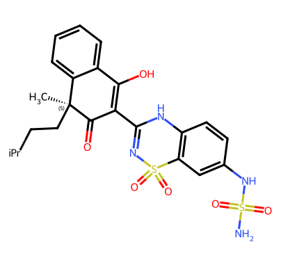 CC(C)CC[C@]1(C)C(=O)C(C2=NS(=O)(=O)c3cc(NS(N)(=O)=O)ccc3N2)=C(O)c2ccccc21